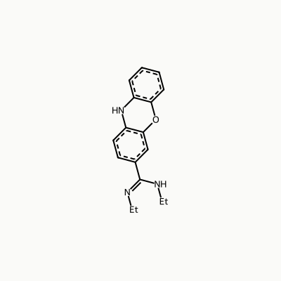 CCN=C(NCC)c1ccc2c(c1)Oc1ccccc1N2